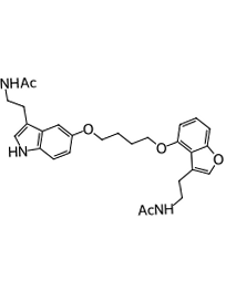 CC(=O)NCCc1c[nH]c2ccc(OCCCCOc3cccc4occ(CCNC(C)=O)c34)cc12